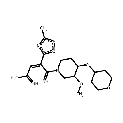 CO[C@H]1CN(C(=N)/C(=C\C(C)=N)c2nc(C)no2)CC[C@H]1NC1CCOCC1